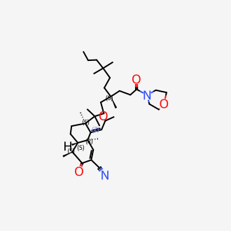 CCCC(C)(C)CC[C@](C)(CCC(=O)N1CCOCC1)CCC(C)(C)[C@]1(C)CC[C@H]2[C@H](C)C(=O)C(C#N)=C[C@]2(C)/C1=C/C(C)=O